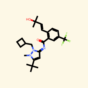 Cn1c(C(C)(C)C)cc(=NC(=O)c2cc(C(F)(F)F)ccc2C=CC(C)(C)O)n1CC1CCC1